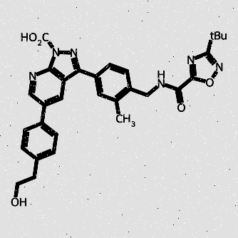 Cc1cc(-c2nn(C(=O)O)c3ncc(-c4ccc(CCO)cc4)cc23)ccc1CNC(=O)c1nc(C(C)(C)C)no1